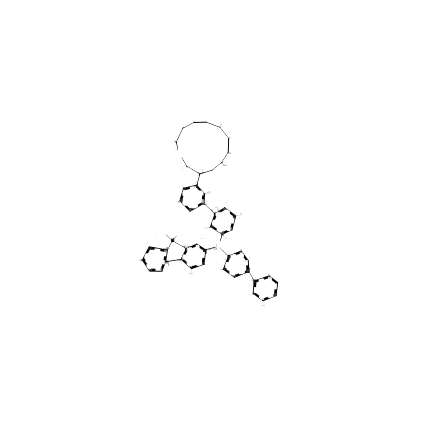 CC1(C)c2ccccc2-c2ccc(N(c3ccc(-c4ccccc4)cc3)c3cccc(-c4cccc(C5CCCCCCCCCCC5)c4)c3)cc21